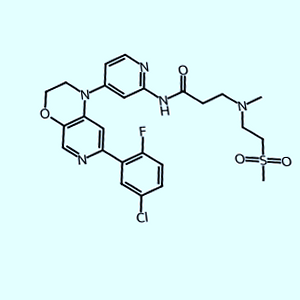 CN(CCC(=O)Nc1cc(N2CCOc3cnc(-c4cc(Cl)ccc4F)cc32)ccn1)CCS(C)(=O)=O